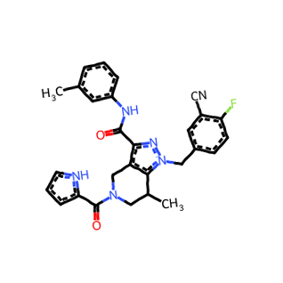 Cc1cccc(NC(=O)c2nn(Cc3ccc(F)c(C#N)c3)c3c2CN(C(=O)c2ccc[nH]2)CC3C)c1